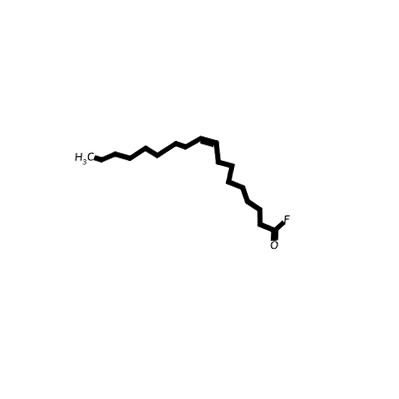 CCCCCCCC/C=C\CCCCCCCC(=O)F